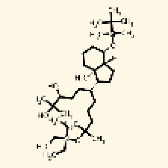 CC[Si](CC)(CC)OC(C)(C)CCCC(CC[C@H](O)C(C)(C)O)[C@H]1CC[C@H]2[C@@H](O[Si](C)(C)C(C)(C)C)CCC[C@]12C